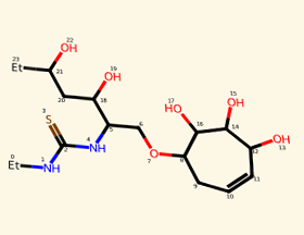 CCNC(=S)NC(COC1CC=CC(O)C(O)C1O)C(O)CC(O)CC